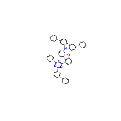 C1=CC(n2c3ccc(-c4ccccc4)cc3c3ccc(-c4ccccc4)cc32)C2Oc3cccc(-c4nc(-c5ccccc5)nc(-c5cccc(-c6ccccc6)c5)n4)c3C2=C1